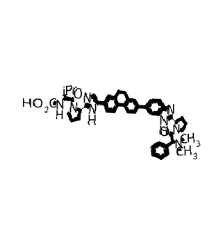 CC(C)[C@H](NC(=O)O)C(=O)N1CCC[C@H]1c1ncc(-c2ccc3c(c2)CCc2cc(-c4ccc5nc([C@@H]6CCCN6C(=O)C(c6ccccc6)N(C)C)[nH]c5c4)ccc2-3)[nH]1